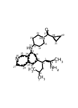 C/C(N)=C/C(CC(C)C)c1cc(NC2CCN(C(=O)C3CC3)CC2)c2cnccc2c1